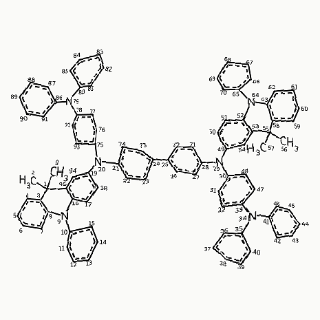 CC1(C)c2ccccc2N(c2ccccc2)c2ccc(N(c3ccc(-c4ccc(N(c5ccc(N(c6ccccc6)c6ccccc6)cc5)c5ccc6c(c5)C(C)(C)c5ccccc5N6c5ccccc5)cc4)cc3)c3ccc(N(c4ccccc4)c4ccccc4)cc3)cc21